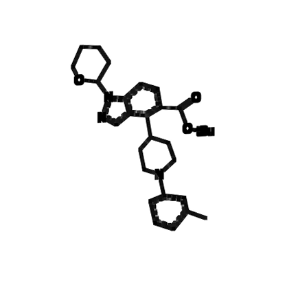 Cc1cccc(N2CCC(c3c(C(=O)OC(C)(C)C)ccc4c3cnn4C3CCCCO3)CC2)c1